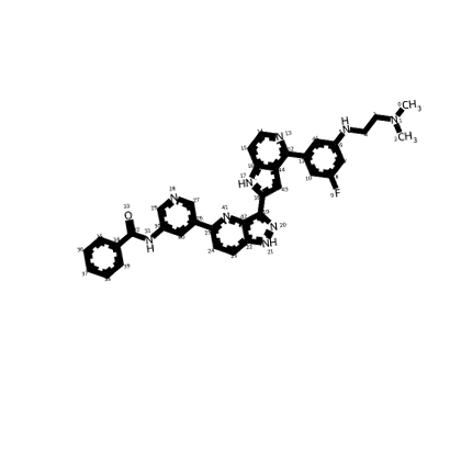 CN(C)CCNc1cc(F)cc(-c2nccc3[nH]c(-c4n[nH]c5ccc(-c6cncc(NC(=O)c7ccccc7)c6)nc45)cc23)c1